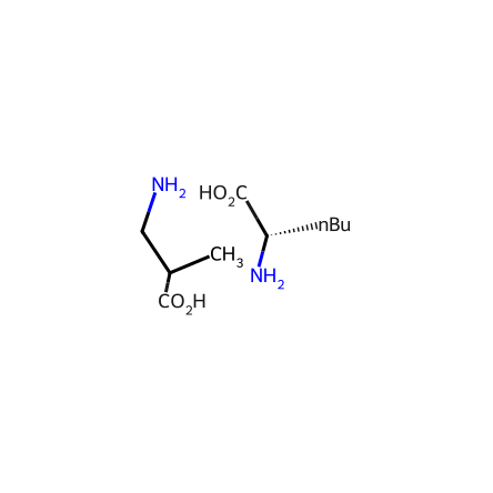 CC(CN)C(=O)O.CCCC[C@H](N)C(=O)O